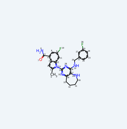 Cc1cc2c(C(N)=O)cc(F)cc2n1-c1nc2c(c(NCc3cccc(F)c3)n1)NCCCC2